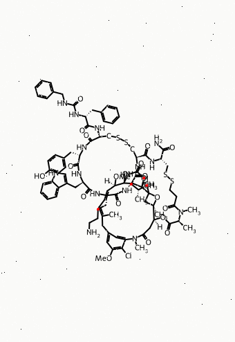 COc1cc2cc(c1Cl)N(C)C(=O)C[C@H](OC(=O)[C@H](C)N(C)C(=O)CCSSC[C@H](NC(=O)[C@@H]1CSSC[C@H](NC(=O)[C@@H](Cc3ccccc3)NC(=O)NCc3ccccc3)C(=O)N[C@@H](Cc3ccc(O)cc3)C(=O)N[C@H](Cc3c[nH]c4ccccc34)C(=O)N[C@@H](CCCCN)C(=O)N[C@@H]([C@@H](C)O)C(=O)N1)C(N)=O)[C@@]1(C)CC(C)(O1)[C@@H]1C[C@@](O)(NC(=O)O1)[C@H](OC)/C=C/C=C(\C)C2